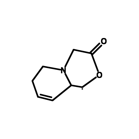 O=C1CN2CCC=CC2[CH]O1